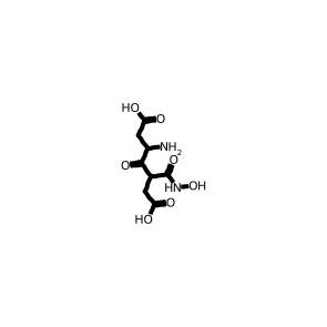 NC(CC(=O)O)C(=O)C(CC(=O)O)C(=O)NO